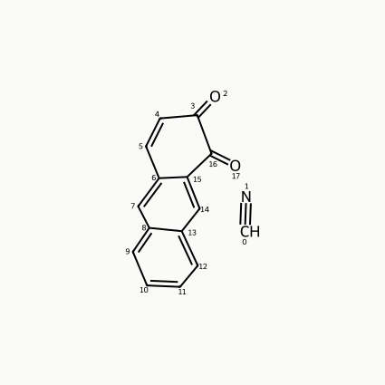 C#N.O=C1C=Cc2cc3ccccc3cc2C1=O